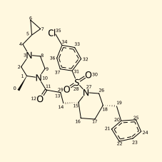 C[C@H]1CN(CC2CC2)CCN1C(=O)CC[C@H]1CC[C@@H](Cc2ccccc2)CN1S(=O)(=O)c1ccc(Cl)cc1